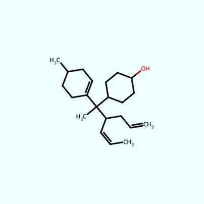 C=CCC(/C=C\C)C(C)(C1=CCC(C)CC1)C1CCC(O)CC1